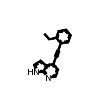 CCc1ccccc1C#Cc1ccnc2[nH]ccc12